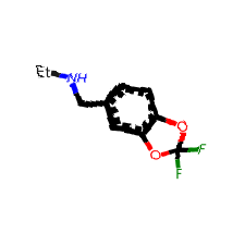 CCNCc1ccc2c(c1)OC(F)(F)O2